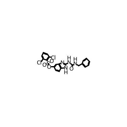 O=C(NCc1ccccc1)Nc1nc2cc(OS(=O)(=O)c3c(Cl)cccc3Cl)ccc2[nH]1